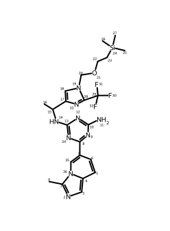 Cc1ncc2ccc(-c3nc(N)nc(NC(C)c4cn(COCC[Si](C)(C)C)c(C(F)(F)F)n4)n3)cn12